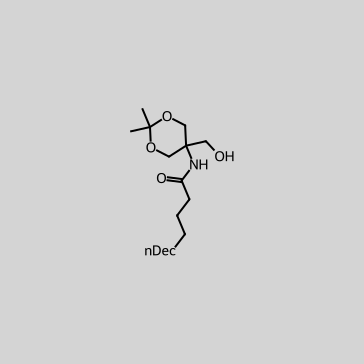 CCCCCCCCCCCCCC(=O)NC1(CO)COC(C)(C)OC1